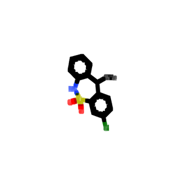 COC1c2ccccc2NS(=O)(=O)c2cc(Cl)ccc21